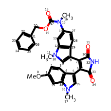 COc1ccc2c(C3=C(c4cn(C)c5cc(N(C)C(=O)OCc6ccccc6)ccc45)C(=O)NC3=O)cn(C)c2c1